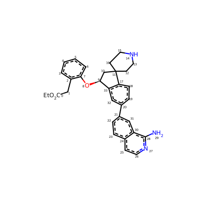 CCOC(=O)Cc1ccccc1O[C@H]1CC2(CCNCC2)c2ccc(-c3ccc4ccnc(N)c4c3)cc21